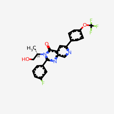 C[C@@H](CO)n1c(-c2cccc(F)c2)nc2cnc(-c3ccc(OC(F)(F)F)cc3)cc2c1=O